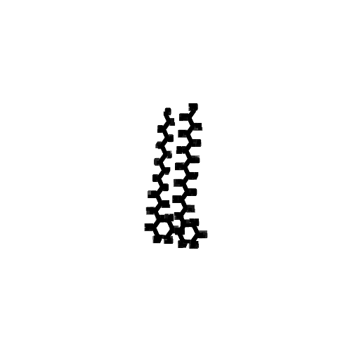 CCCCCCCCCCCCCC1CCCCC1.CCCCCCCCCCCCCCC1CCCCC1